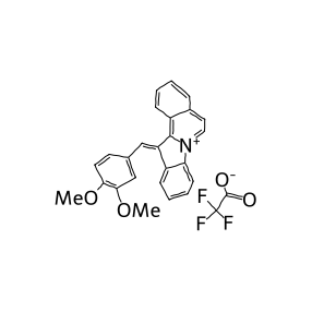 COc1ccc(C=C2c3ccccc3-[n+]3ccc4ccccc4c32)cc1OC.O=C([O-])C(F)(F)F